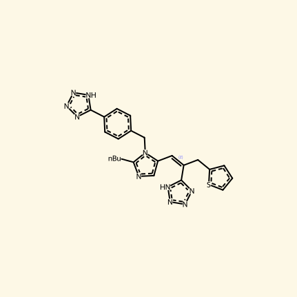 CCCCc1ncc(/C=C(/Cc2cccs2)c2nnn[nH]2)n1Cc1ccc(-c2nnn[nH]2)cc1